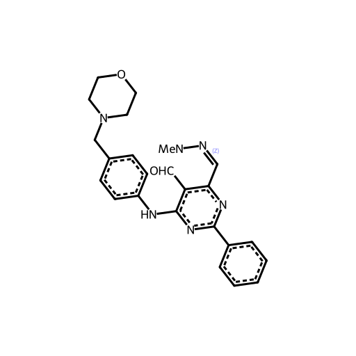 CN/N=C\c1nc(-c2ccccc2)nc(Nc2ccc(CN3CCOCC3)cc2)c1C=O